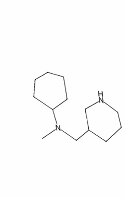 CN(CC1CCCNC1)C1CCCCC1